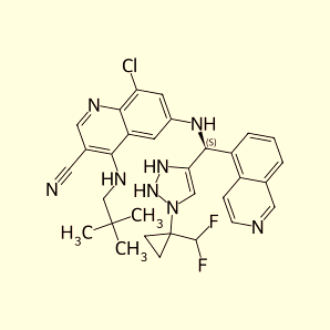 CC(C)(C)CNc1c(C#N)cnc2c(Cl)cc(N[C@H](C3=CN(C4(C(F)F)CC4)NN3)c3cccc4cnccc34)cc12